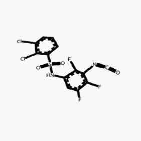 O=C=Nc1c(F)c(F)cc(NS(=O)(=O)c2cccc(Cl)c2Cl)c1F